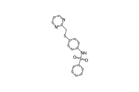 O=S(=O)(Nc1ccc(SCc2ncccn2)cc1)c1ccccc1